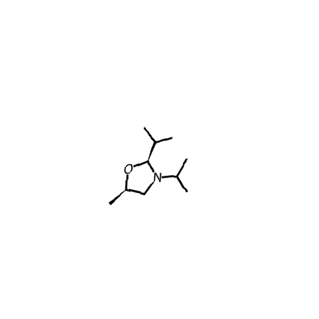 CC(C)[C@@H]1O[C@H](C)CN1C(C)C